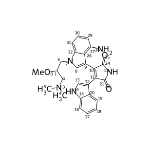 COC(CN(C)C)Cn1cc(C2=C(c3c[nH]c4ccccc34)C(=O)NC2=O)c2c(N)cccc21